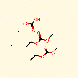 CCOC(=O)OC.CCOC(=O)OC.O=C(O)O